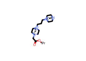 CC(C)OC(=O)C[N+]12CC[N+](CCC[N+]34CCN(CC3)CC4)(CC1)CC2